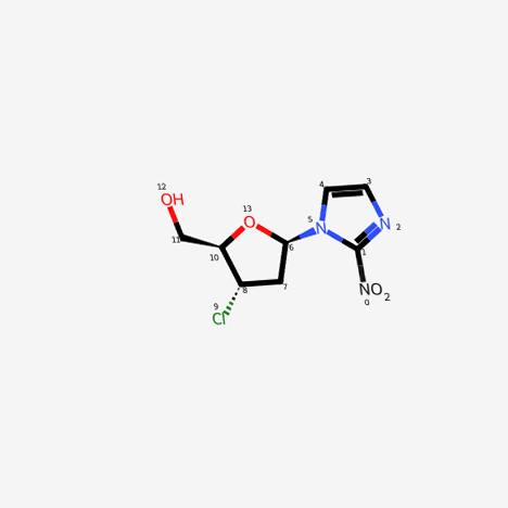 O=[N+]([O-])c1nccn1[C@H]1C[C@H](Cl)[C@@H](CO)O1